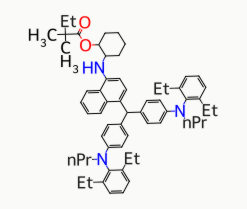 CCCN(c1ccc(C(c2ccc(N(CCC)c3c(CC)cccc3CC)cc2)c2ccc(NC3CCCCC3OC(=O)C(C)(C)CC)c3ccccc23)cc1)c1c(CC)cccc1CC